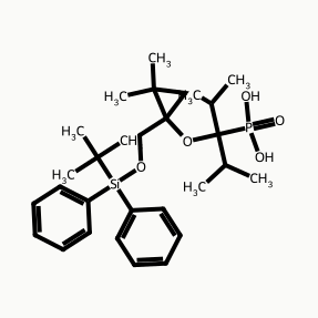 CC(C)C(OC1(CO[Si](c2ccccc2)(c2ccccc2)C(C)(C)C)CC1(C)C)(C(C)C)P(=O)(O)O